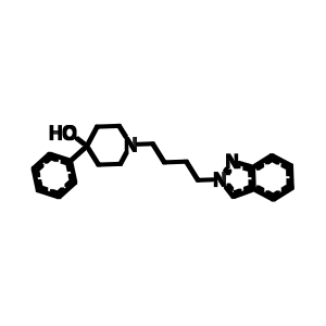 OC1(c2ccccc2)CCN(CCCCn2cc3ccccc3n2)CC1